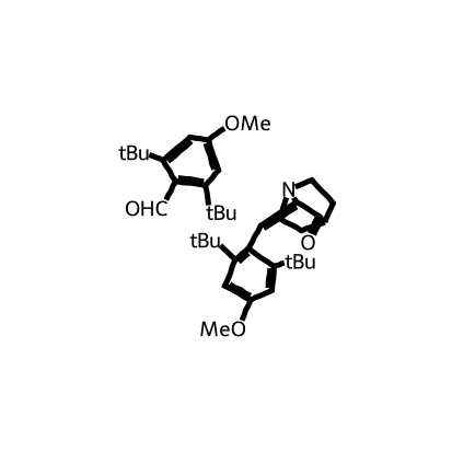 COc1cc(C(C)(C)C)c(/C=C2\C(=O)C3CCN2CC3)c(C(C)(C)C)c1.COc1cc(C(C)(C)C)c(C=O)c(C(C)(C)C)c1